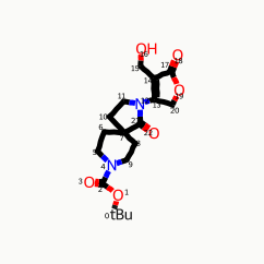 CC(C)(C)OC(=O)N1CCC2(CC1)CCN(C1=C(CO)C(=O)OC1)C2=O